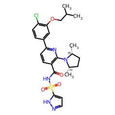 CC(C)COc1cc(-c2ccc(C(=O)NS(=O)(=O)c3ccn[nH]3)c(N3[C@H](C)CC[C@@H]3C)n2)ccc1Cl